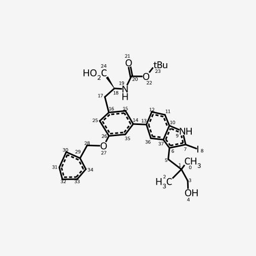 CC(C)(CO)Cc1c(I)[nH]c2ccc(-c3cc(C[C@H](NC(=O)OC(C)(C)C)C(=O)O)cc(OCc4ccccc4)c3)cc12